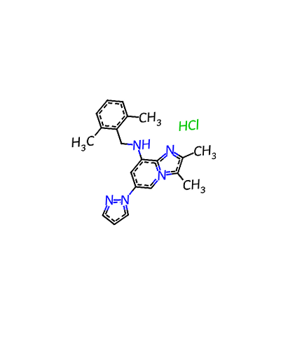 Cc1cccc(C)c1CNc1cc(-n2cccn2)cn2c(C)c(C)nc12.Cl